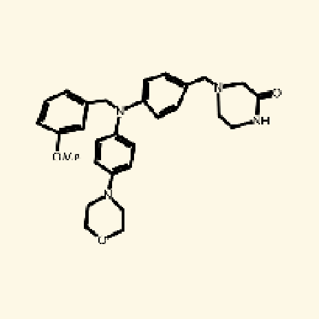 COc1cccc(CN(c2ccc(CN3CCNC(=O)C3)cc2)c2ccc(N3CCOCC3)cc2)c1